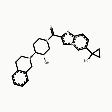 N#CC1(c2ccc3nc(C(=O)N4CC[C@H](N5CCc6ccccc6C5)[C@@H](O)C4)cn3c2)CC1